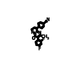 Cc1nc2c(-c3ccc(C#N)cc3)ccnn2c(=O)c1-c1ccc(F)cc1F